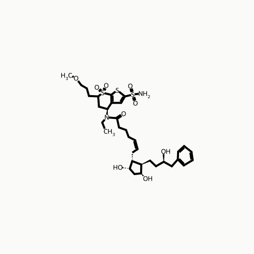 CCN(C(=O)CCC/C=C\C[C@@H]1[C@@H](CC[C@@H](O)Cc2ccccc2)[C@H](O)C[C@@H]1O)[C@H]1CC(CCCOC)S(=O)(=O)c2sc(S(N)(=O)=O)cc21